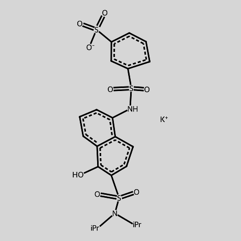 CC(C)N(C(C)C)S(=O)(=O)c1ccc2c(NS(=O)(=O)c3cccc(S(=O)(=O)[O-])c3)cccc2c1O.[K+]